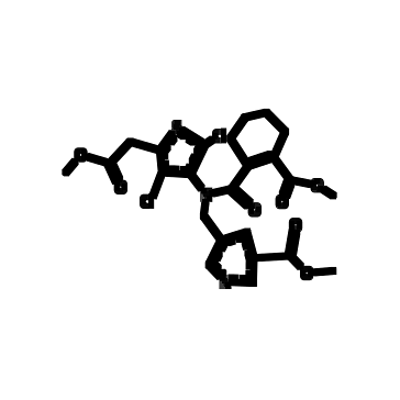 COC(=O)Cc1sc(Cl)c(N(Cc2cncc(C(=O)OC)c2)C(=O)C2=C(C(=O)OC)CCCC2)c1Cl